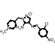 C[n+]1ccc(Cn2ncc(/N=N/c3ccc([N+](=O)[O-])cc3Cl)c2N)cc1.[Cl-]